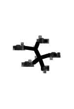 CCCCCCCCCCC(CCCCCCCC)C(O)(CCCCCCCC)CCCCCCCC